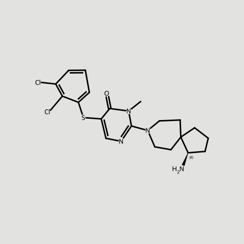 Cn1c(N2CCC3(CCC[C@H]3N)CC2)ncc(Sc2cccc(Cl)c2Cl)c1=O